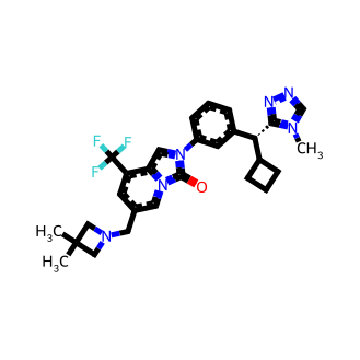 Cn1cnnc1[C@@H](c1cccc(-n2cc3c(C(F)(F)F)cc(CN4CC(C)(C)C4)cn3c2=O)c1)C1CCC1